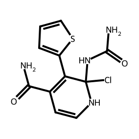 NC(=O)NC1(Cl)NC=CC(C(N)=O)=C1c1cccs1